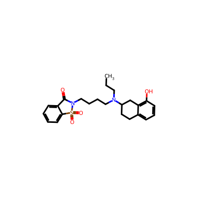 CCCN(CCCCN1C(=O)c2ccccc2S1(=O)=O)C1CCc2cccc(O)c2C1